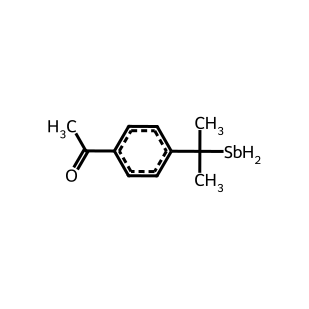 CC(=O)c1ccc([C](C)(C)[SbH2])cc1